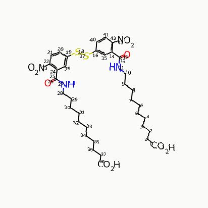 O=C(O)CCCCCCCCCCNC(=O)c1cc(SSc2ccc([N+](=O)[O-])c(C(=O)NCCCCCCCCCCC(=O)O)c2)ccc1[N+](=O)[O-]